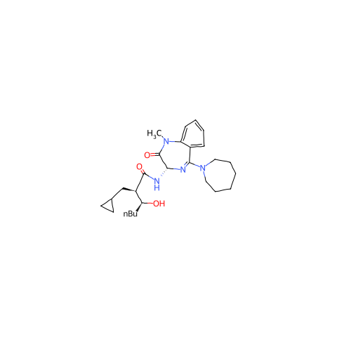 CCCC[C@H](O)[C@@H](CC1CC1)C(=O)N[C@H]1N=C(N2CCCCCC2)c2ccccc2N(C)C1=O